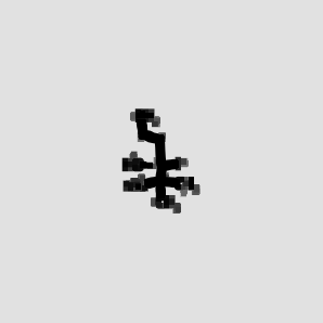 BCC[C@@](O)(I)C(C)(C)CCCC